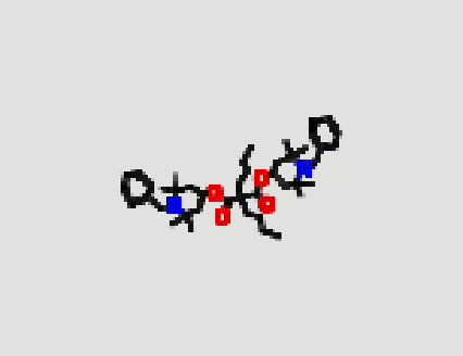 CCCCC(CCCC)(C(=O)OC1CC(C)(C)N(Cc2ccccc2)C(C)(C)C1)C(=O)OC1CC(C)(C)N(Cc2ccccc2)C(C)(C)C1